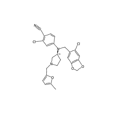 Cc1ccc(CN2CC[C@H](N(Cc3cc4c(cc3Cl)OCO4)c3ccc(C#N)c(Cl)c3)C2)o1